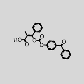 CC(C(=O)O)=C(OC(=O)Oc1ccc(C(=O)c2ccccc2)cc1)c1ccccc1